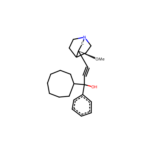 CO[C@]1(C#CC(O)(c2ccccc2)C2CCCCCCC2)CN2CCC1CC2